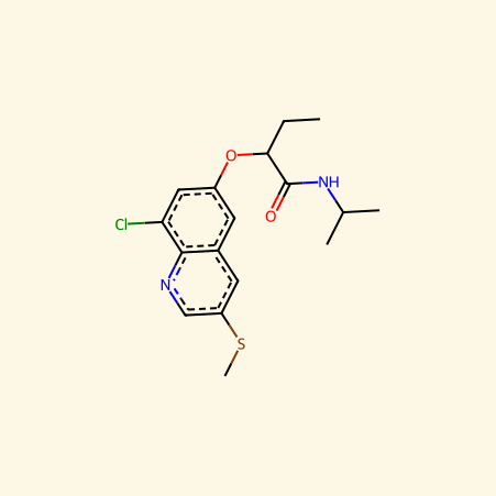 CCC(Oc1cc(Cl)c2ncc(SC)cc2c1)C(=O)NC(C)C